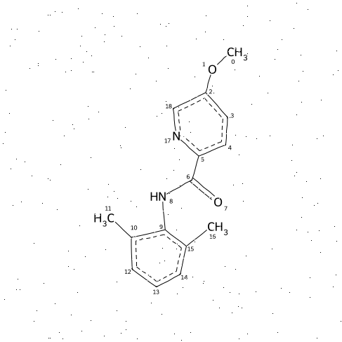 COc1ccc(C(=O)Nc2c(C)cccc2C)nc1